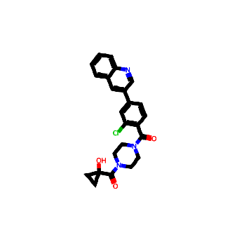 O=C(c1ccc(-c2cnc3ccccc3c2)cc1Cl)N1CCN(C(=O)C2(O)CC2)CC1